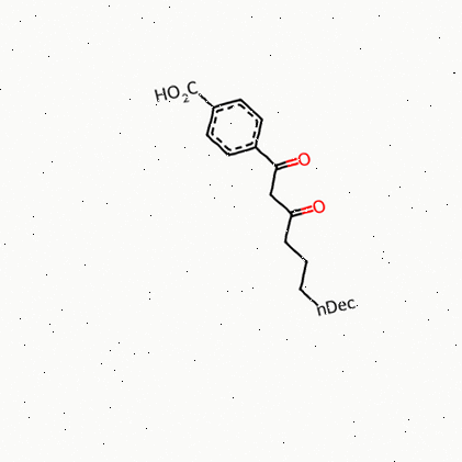 CCCCCCCCCCCCCC(=O)CC(=O)c1ccc(C(=O)O)cc1